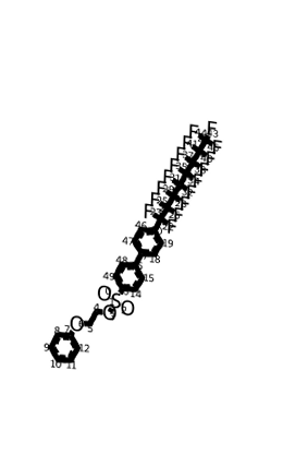 O=S(=O)(OCCOc1ccccc1)c1ccc(-c2ccc(C(F)(F)C(F)(F)C(F)(F)C(F)(F)C(F)(F)C(F)(F)C(F)(F)C(F)(F)F)cc2)cc1